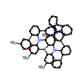 CC(C)(C)c1cccc(-c2cccc(-c3ccccc3)c2N2c3ccc(C(C)(C)C)cc3B3c4cc(C(C)(C)C)ccc4N(c4c(-c5ccccc5)cccc4-c4cccc(C(C)(C)C)c4)c4cc(-n5c6ccccc6c6ccccc65)cc2c43)c1